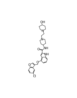 O=C(NC1CCN(CCN2CCC(O)CC2)CC1)c1cc2c(OCc3coc4ccc(Cl)cc34)cccc2[nH]1